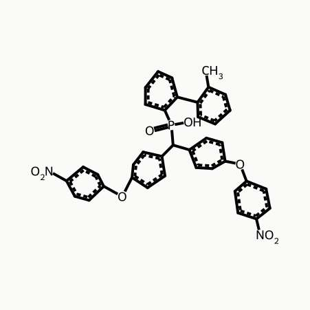 Cc1ccccc1-c1ccccc1P(=O)(O)C(c1ccc(Oc2ccc([N+](=O)[O-])cc2)cc1)c1ccc(Oc2ccc([N+](=O)[O-])cc2)cc1